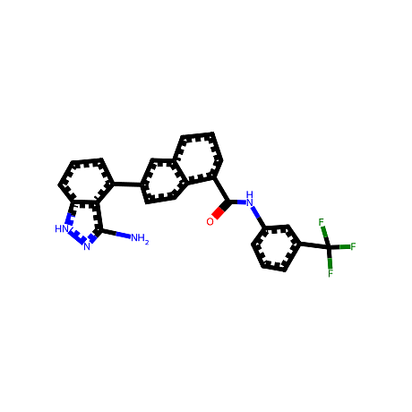 Nc1n[nH]c2cccc(-c3ccc4c(C(=O)Nc5cccc(C(F)(F)F)c5)cccc4c3)c12